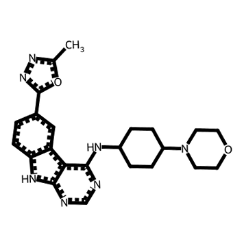 Cc1nnc(-c2ccc3[nH]c4ncnc(NC5CCC(N6CCOCC6)CC5)c4c3c2)o1